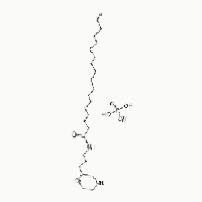 CCCCCCCCCCCCCCCCCC(=O)NCCCC1CNCCO1.O=P(O)(O)O